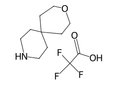 C1CC2(CCN1)CCOCC2.O=C(O)C(F)(F)F